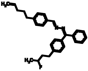 C=CCCCc1ccc(C=NN=C(c2ccccc2)c2ccc(CCC(C)F)cc2)cc1